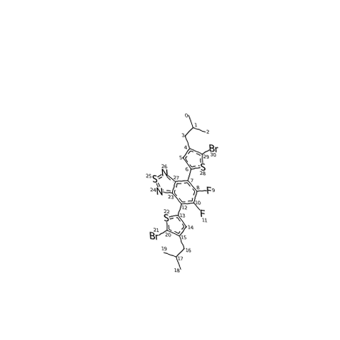 CC(C)Cc1cc(-c2c(F)c(F)c(-c3cc(CC(C)C)c(Br)s3)c3nsnc23)sc1Br